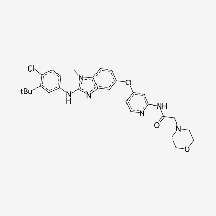 Cn1c(Nc2ccc(Cl)c(C(C)(C)C)c2)nc2cc(Oc3ccnc(NC(=O)CN4CCOCC4)c3)ccc21